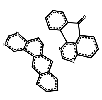 O=C1c2ccccc2-c2ncnc3cccc1c23.c1ccc2cc3c(ccc4ncncc43)cc2c1